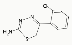 NC1=NN=C(c2ccccc2Cl)CS1